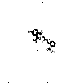 CC(C)c1nn(CC(=O)NCC2CCCN2C(=O)O)c(=O)c2ccc(Br)cc12